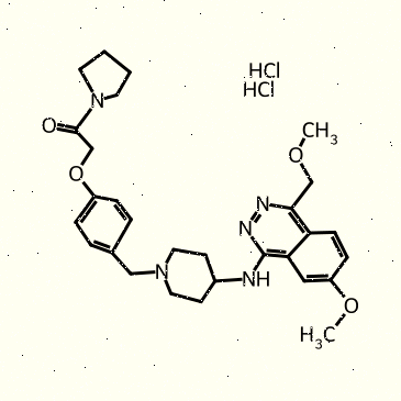 COCc1nnc(NC2CCN(Cc3ccc(OCC(=O)N4CCCC4)cc3)CC2)c2cc(OC)ccc12.Cl.Cl